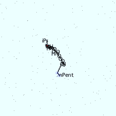 CCCCC/C=C\C/C=C\CCCCCCCCOCC(CN1CCCCC1)OCCOCCOCCNC(=O)CCC(=O)O[C@H]1CC[C@@]2(C)C(=CC[C@H]3[C@@H]4CC[C@H]([C@H](C)CCCC(C)C)[C@@]4(C)CC[C@@H]32)C1